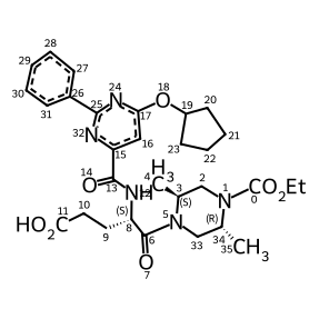 CCOC(=O)N1C[C@H](C)N(C(=O)[C@H](CCC(=O)O)NC(=O)c2cc(OC3CCCC3)nc(-c3ccccc3)n2)C[C@H]1C